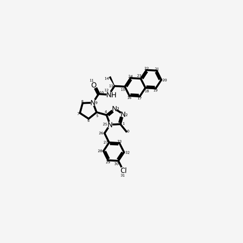 Cc1nnc(C2CCCN2C(=O)N[C@@H](C)c2ccc3ccccc3c2)n1Cc1ccc(Cl)cc1